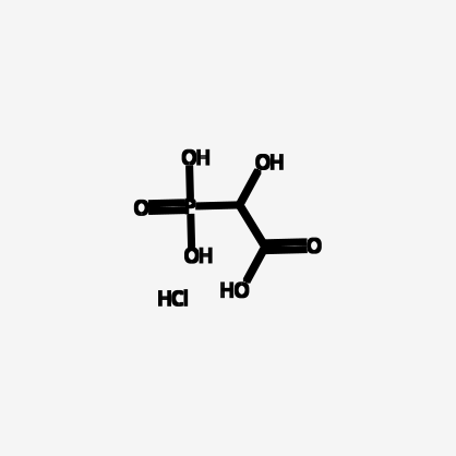 Cl.O=C(O)C(O)P(=O)(O)O